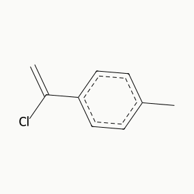 C=C(Cl)c1ccc(C)cc1